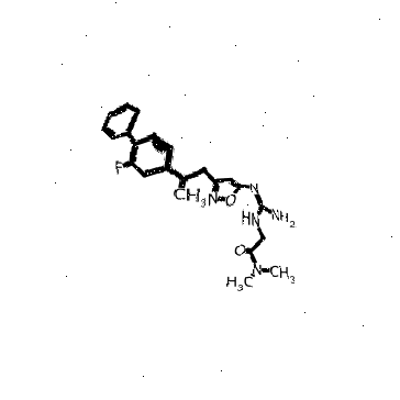 CC(Cc1cc(N=C(N)NCC(=O)N(C)C)on1)c1ccc(-c2ccccc2)c(F)c1